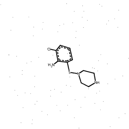 Nc1c(Cl)cccc1SN1CCNCC1